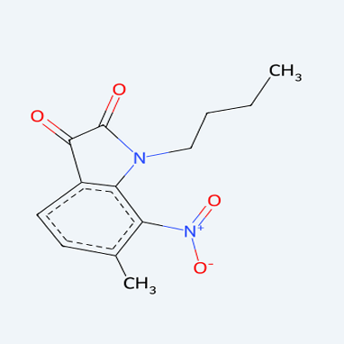 CCCCN1C(=O)C(=O)c2ccc(C)c([N+](=O)[O-])c21